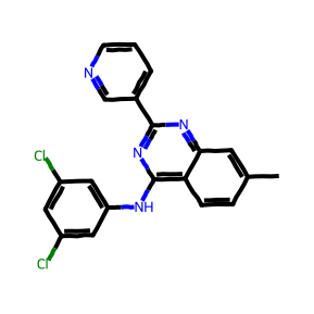 Cc1ccc2c(Nc3cc(Cl)cc(Cl)c3)nc(-c3cccnc3)nc2c1